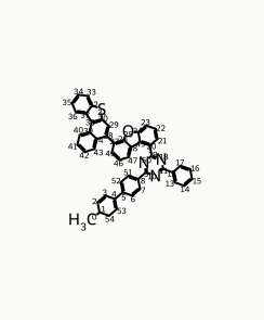 CC1C=CC(c2ccc(-c3nc(-c4ccccc4)nc(-c4cccc5oc6c(-c7cc8sc9ccccc9c8c8ccccc78)cccc6c45)n3)cc2)=CC1